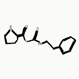 O=C(NCCc1ccccc1)OC(=O)C1CCCN1